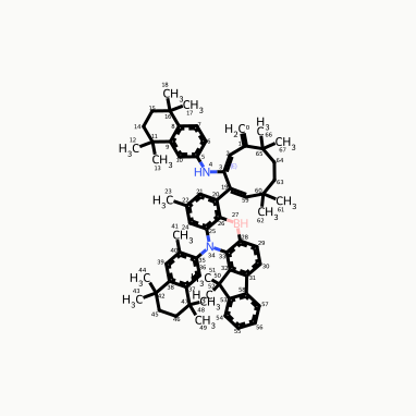 C=C1/C=C(/Nc2ccc3c(c2)C(C)(C)CCC3(C)C)C(c2cc(C)cc3c2Bc2ccc4c(c2N3c2cc3c(cc2C)C(C)(C)CCC3(C)C)C(C)(C)c2ccccc2-4)=CC(C)(C)CCC1(C)C